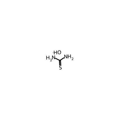 NC(N)=S.[OH]